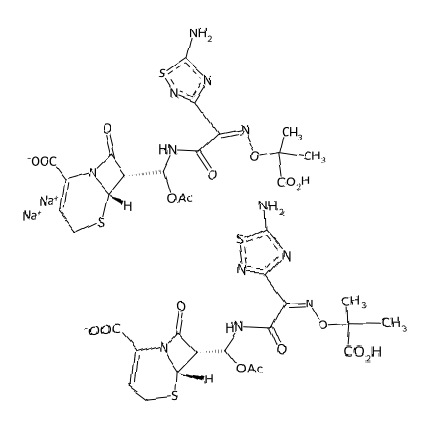 CC(=O)OC(NC(=O)/C(=N\OC(C)(C)C(=O)O)c1nsc(N)n1)[C@H]1C(=O)N2C(C(=O)[O-])=CCS[C@@H]12.CC(=O)OC(NC(=O)/C(=N\OC(C)(C)C(=O)O)c1nsc(N)n1)[C@H]1C(=O)N2C(C(=O)[O-])=CCS[C@@H]12.[Na+].[Na+]